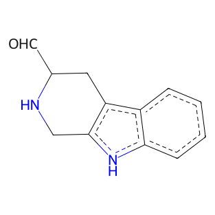 O=CC1Cc2c([nH]c3ccccc23)CN1